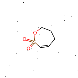 O=S1(=O)C=CCCCO1